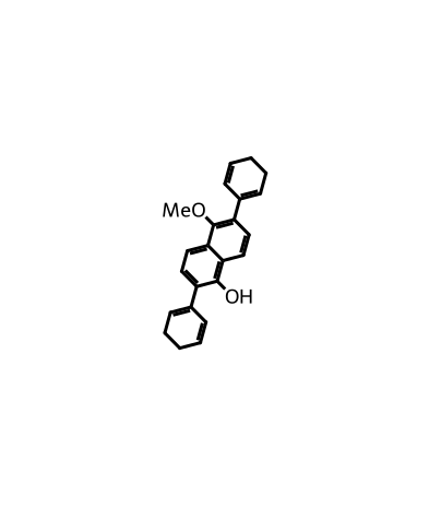 COc1c(C2=CCCC=C2)ccc2c(O)c(C3=CCCC=C3)ccc12